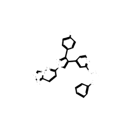 CCc1ccccc1.Nc1cc(-c2cn(-c3ccc4nncn4n3)nc2-c2ccc(F)cc2)ccn1